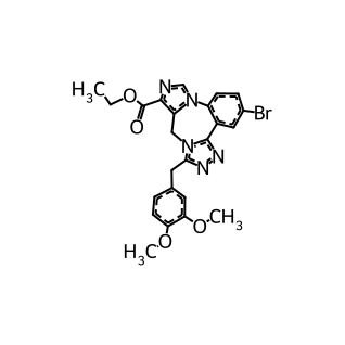 CCOC(=O)c1ncn2c1Cn1c(Cc3ccc(OC)c(OC)c3)nnc1-c1cc(Br)ccc1-2